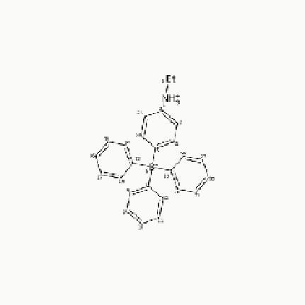 CC[NH3+].c1ccc([B-](c2ccccc2)(c2ccccc2)c2ccccc2)cc1